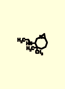 CCNC1CN2CC2CCCC1(C)C